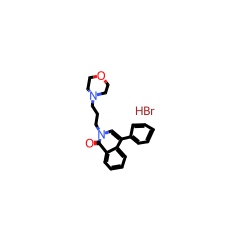 Br.O=c1c2ccccc2c(-c2ccccc2)cn1CCCN1CCOCC1